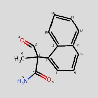 CC([C]=O)(C(N)=O)c1cccc2ccccc12